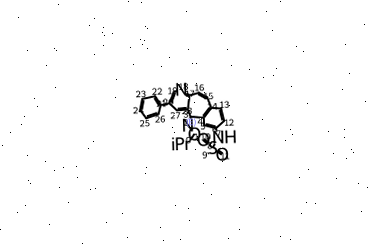 CC(C)O/N=c1\c2cc(NS(C)(=O)=O)ccc2ccc2ncc(-c3ccccc3)cc12